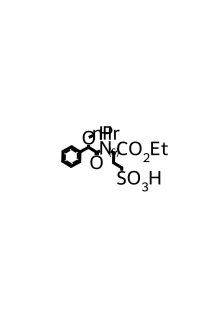 CCCOC(C(=O)N[C@@H](CCS(=O)(=O)O)C(=O)OCC)c1ccccc1